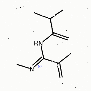 C=C(C)/C(=N/C)NC(=C)C(C)C